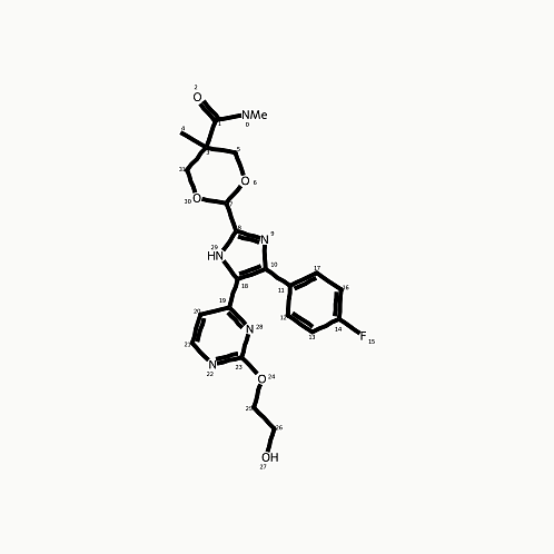 CNC(=O)C1(C)COC(c2nc(-c3ccc(F)cc3)c(-c3ccnc(OCCO)n3)[nH]2)OC1